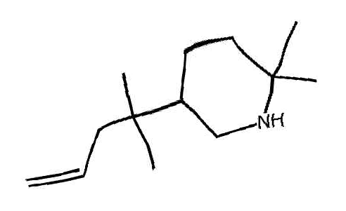 C=CCC(C)(C)C1CCC(C)(C)NC1